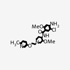 COc1cc(N)c(Cl)cc1C(=O)NC1CCN(CCOc2ccc(C)nc2)CC1OC